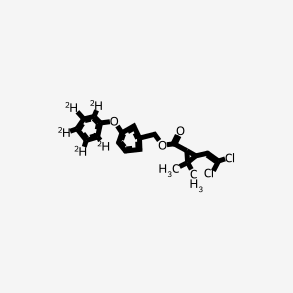 [2H]c1c([2H])c([2H])c(Oc2cccc(COC(=O)C3C(C=C(Cl)Cl)C3(C)C)c2)c([2H])c1[2H]